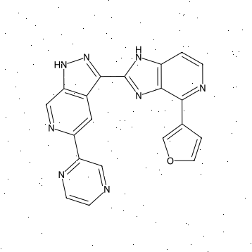 c1cnc(-c2cc3c(-c4nc5c(-c6ccoc6)nccc5[nH]4)n[nH]c3cn2)cn1